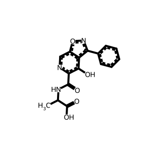 CC(NC(=O)c1ncc2onc(-c3ccccc3)c2c1O)C(=O)O